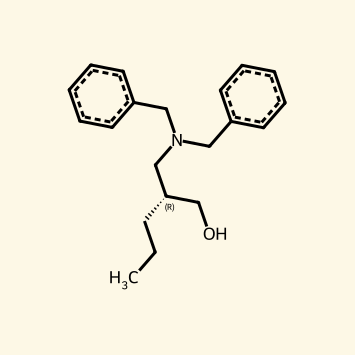 CCC[C@@H](CO)CN(Cc1ccccc1)Cc1ccccc1